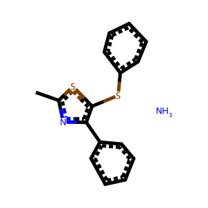 Cc1nc(-c2ccccc2)c(Sc2ccccc2)s1.N